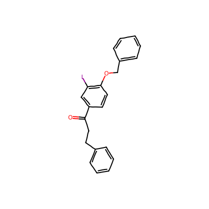 O=C(CCc1ccccc1)c1ccc(OCc2ccccc2)c(I)c1